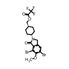 COc1c(Br)cc2c(c1Br)C(=O)N([C@H]1CC[C@H](COC(=O)C(F)(F)F)CC1)C2